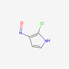 O=Nc1cc[nH]c1Cl